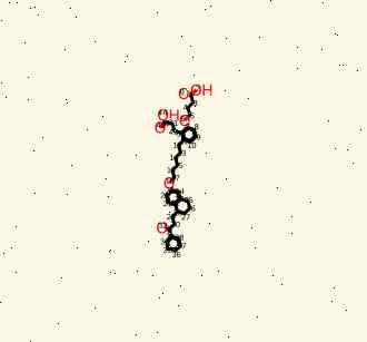 O=C(O)CCCOc1cccc(CCCCCCOc2ccc3c(c2)CCCC3CCC(=O)c2ccccc2)c1CCC(=O)O